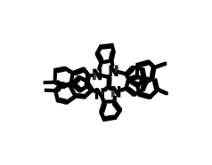 Cc1ccc2cc(N3C(=C4N(c5ccc6cc(C)ccc6c5)c5ccccc5N4c4ccc5cc(C)ccc5c4)N(c4ccc5cc(C)ccc5c4)c4ccccc43)ccc2c1